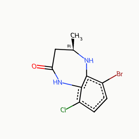 C[C@@H]1CC(=O)Nc2c(Cl)ccc(Br)c2N1